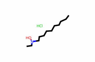 CCCCCCCCCCN(O)CC.Cl